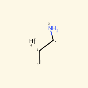 CCCN.[Hf]